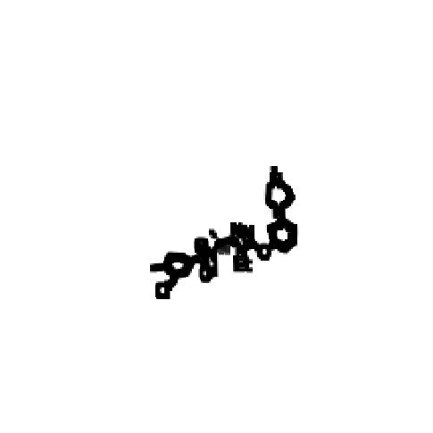 CCn1c(Oc2cccc(N3CCN(C)CC3)c2)nnc1[C@@H](C)NS(=O)(=O)c1ccc(C)c(Cl)c1